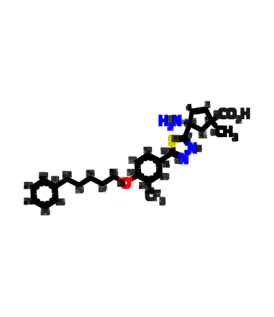 CC1(C(=O)O)C=C[C@](N)(c2nnc(-c3ccc(OCCCCCc4ccccc4)c(C(F)(F)F)c3)s2)C1